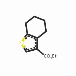 CCOC(=O)c1csc2c1CCCC2